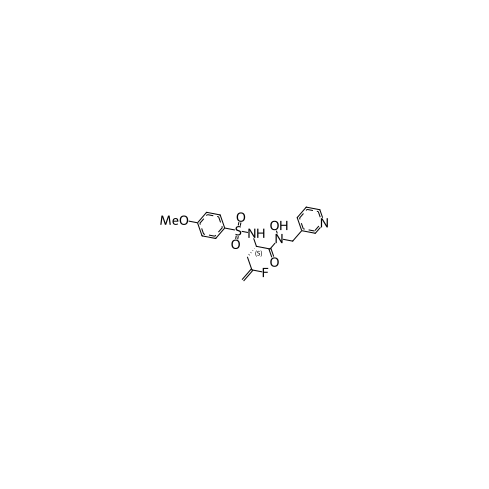 C=C(F)C[C@H](NS(=O)(=O)c1ccc(OC)cc1)C(=O)N(O)Cc1cccnc1